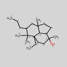 CCCC1CC2(C)CCC3C2C(CC)(CCC3(C)O)C1(C)C